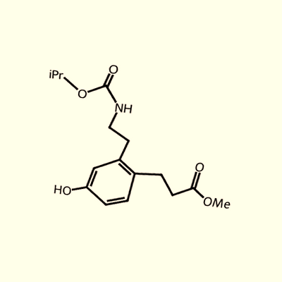 COC(=O)CCc1ccc(O)cc1CCNC(=O)OC(C)C